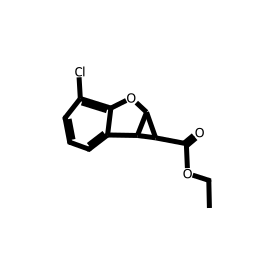 CCOC(=O)C1C2Oc3c(Cl)cccc3C21